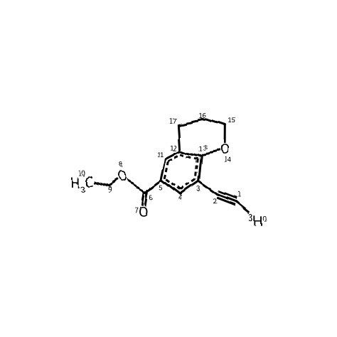 [3H]C#Cc1cc(C(=O)OCC)cc2c1OCCC2